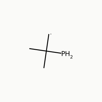 [CH2]C(C)(C)P